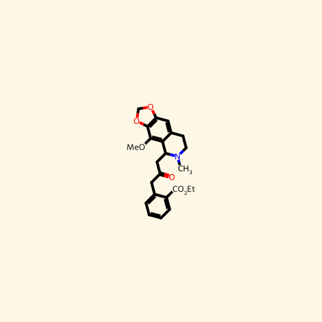 CCOC(=O)c1ccccc1CC(=O)CC1c2c(cc3c(c2OC)OCO3)CCN1C